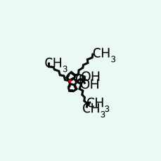 CCCCCCCCCc1ccccc1C(CCCCCCC(C)C)(OP(O)O)c1ccccc1CCCCCCCCC